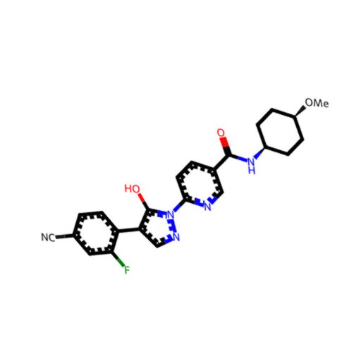 CO[C@H]1CC[C@@H](NC(=O)c2ccc(-n3ncc(-c4ccc(C#N)cc4F)c3O)nc2)CC1